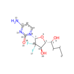 CCCC(O)[C@H]1O[C@@H](n2ccc(N)nc2=O)C(F)(F)[C@@H]1O